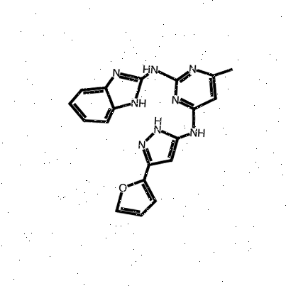 Cc1cc(Nc2cc(-c3ccco3)n[nH]2)nc(Nc2nc3ccccc3[nH]2)n1